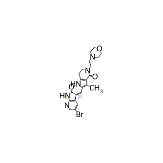 Cc1c(/C=C2\C(=O)Nc3ncc(Br)cc32)[nH]c2c1C(=O)N(CCN1CCOCC1)CC2